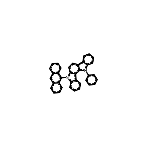 c1ccc(-n2c3ccccc3c3ccc4c(c5ccccc5n4-c4c5ccccc5cc5ccccc45)c32)cc1